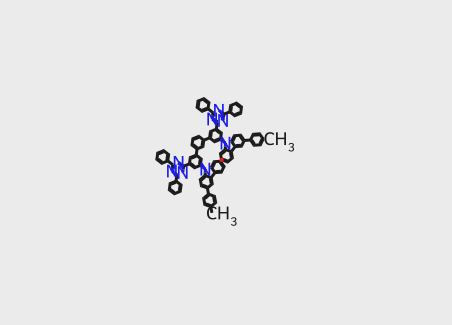 Cc1ccc(-c2ccc3c(c2)c2ccccc2n3-c2cc(-c3cccc(-c4cc(-c5nc(-c6ccccc6)nc(-c6ccccc6)n5)cc(-n5c6ccccc6c6cc(-c7ccc(C)cc7)ccc65)c4)c3)cc(-c3nc(-c4ccccc4)nc(-c4ccccc4)n3)c2)cc1